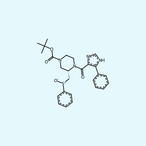 CC(C)(C)OC(=O)N1CCN(C(=O)c2nc[nH]c2-c2ccccc2)[C@H](C[S+]([O-])c2ccccc2)C1